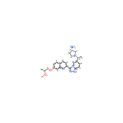 CO[C@@H](C)COc1ccc2ccc(-c3nnc4ccc([C@H](C)N5CC[C@H](N)C5)cn34)nc2c1